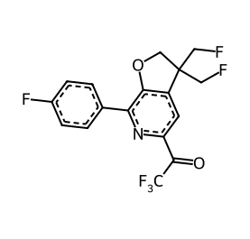 O=C(c1cc2c(c(-c3ccc(F)cc3)n1)OCC2(CF)CF)C(F)(F)F